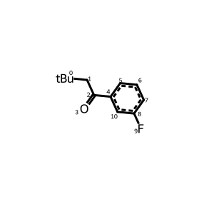 CC(C)(C)CC(=O)c1cccc(F)c1